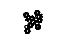 CC1(C)c2ccccc2N2c3cc4c(c5c3B(c3cccc1c32)N(c1ccccc1)c1cc2c(cc1-5)oc1ccccc12)C(C)(C)c1ccccc1-4